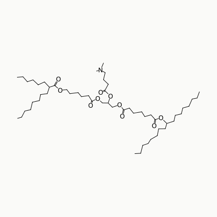 CCCCCCCCC(CCCCCCCC)OC(=O)CCCCCC(=O)OCC(COC(=O)CCCCCOC(=O)C(CCCCCC)CCCCCCCC)OC(=O)CCCN(C)C